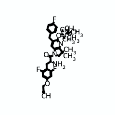 C#CCOc1cc(F)c(C[C@H](N)C(=O)N2CC(C)(C)c3nc(O[Si](C)(C)C(C)(C)C)c(Cc4ccc(F)cc4)cc32)c(F)c1